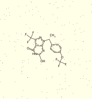 C[C@H](c1ccc(OC(F)(F)F)cc1)n1nc(C(F)(F)F)c2c(=O)[nH]c(O)nc21